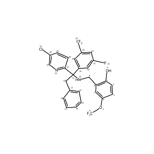 Oc1ccc(OC(F)(F)F)cc1CNC(Cc1ccccc1)(c1cc(F)cc(C(F)(F)F)c1)c1ccc(Cl)cn1